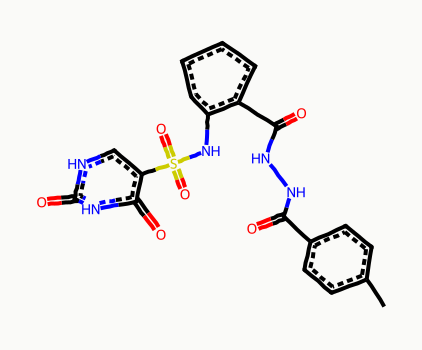 Cc1ccc(C(=O)NNC(=O)c2ccccc2NS(=O)(=O)c2c[nH]c(=O)[nH]c2=O)cc1